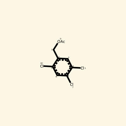 CC(=O)OCc1cc(Cl)c(Cl)cc1Cl